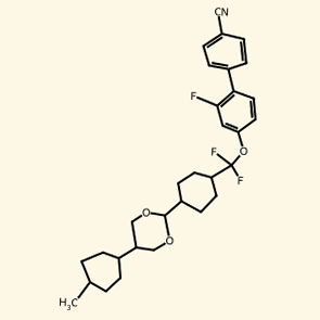 CC1CCC(C2COC(C3CCC(C(F)(F)Oc4ccc(-c5ccc(C#N)cc5)c(F)c4)CC3)OC2)CC1